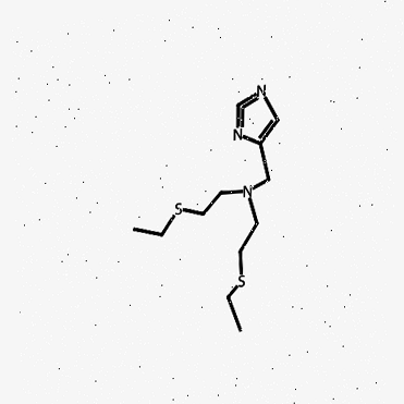 CCSCCN(CCSCC)CC1=CN=C=N1